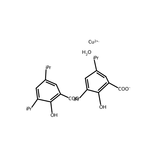 CC(C)c1cc(C(=O)[O-])c(O)c(C(C)C)c1.CC(C)c1cc(C(=O)[O-])c(O)c(C(C)C)c1.O.[Cu+2]